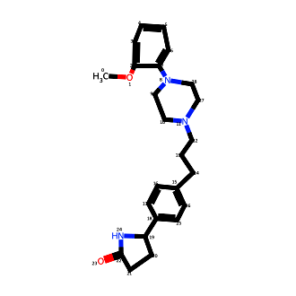 COc1ccccc1N1CCN(CCCc2ccc(C3CCC(=O)N3)cc2)CC1